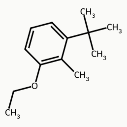 CCOc1cccc(C(C)(C)C)c1C